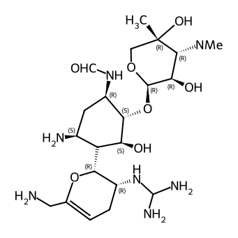 CN[C@@H]1[C@@H](O)[C@@H](O[C@H]2[C@H](NC=O)C[C@H](N)C([C@H]3OC(CN)=CC[C@H]3NC(N)N)[C@@H]2O)OC[C@]1(C)O